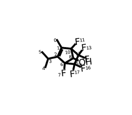 CC1=C(C(C)C)C2(F)C(O)C1(F)C(F)(F)C2(F)F